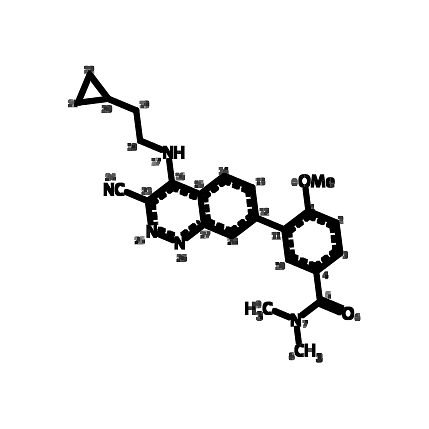 COc1ccc(C(=O)N(C)C)cc1-c1ccc2c(NCCC3CC3)c(C#N)nnc2c1